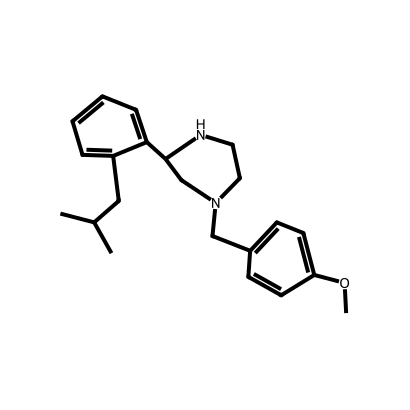 COc1ccc(CN2CCNC(c3ccccc3CC(C)C)C2)cc1